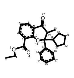 CCOC(=O)c1cccc2c1OC(c1ccccc1)(C1CCCC1)C(C)C2=O